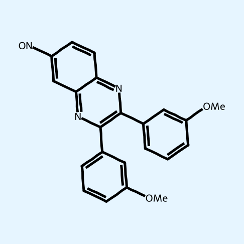 COc1cccc(-c2nc3ccc(N=O)cc3nc2-c2cccc(OC)c2)c1